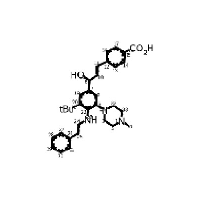 CN1CCN(c2cc(C(O)C=Cc3ccc(C(=O)O)cc3)cc(C(C)(C)C)c2NCCc2ccccc2)CC1